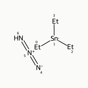 C[CH2][Sn]([CH2]C)[CH2]C.[N-]=[N+]=N